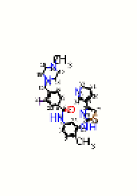 Cc1ccc(NC(=O)c2ccc(CN3CCN(C)CC3)c(I)c2)cc1Nc1nc(-c2cccnc2)cs1